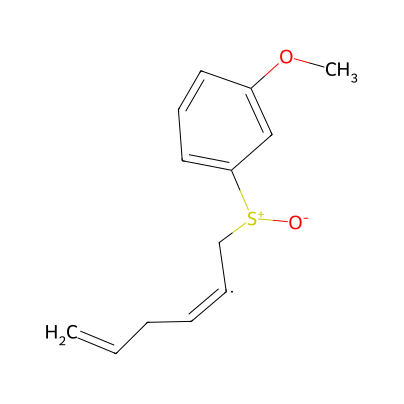 C=CC/C=[C]\C[S+]([O-])c1cccc(OC)c1